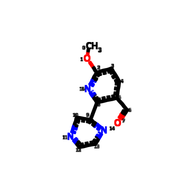 COc1ccc(C=O)c(-c2cnccn2)n1